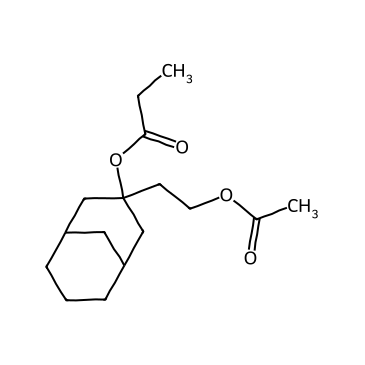 CCC(=O)OC1(CCOC(C)=O)CC2CCCC(C2)C1